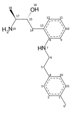 Cc1ccc(CCNc2ccccc2C[C@@H](O)[C@H](C)N)cc1